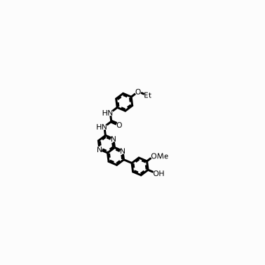 CCOc1ccc(NC(=O)Nc2cnc3ccc(-c4ccc(O)c(OC)c4)nc3n2)cc1